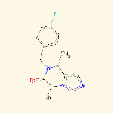 CC(C)C1C(=O)N(Cc2ccc(F)cc2)C(C)c2cncn21